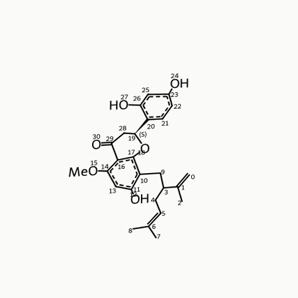 C=C(C)C(CC=C(C)C)Cc1c(O)cc(OC)c2c1O[C@H](c1ccc(O)cc1O)CC2=O